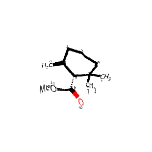 C=C1CCCC(C)(C)[C@@H]1C(=O)OC